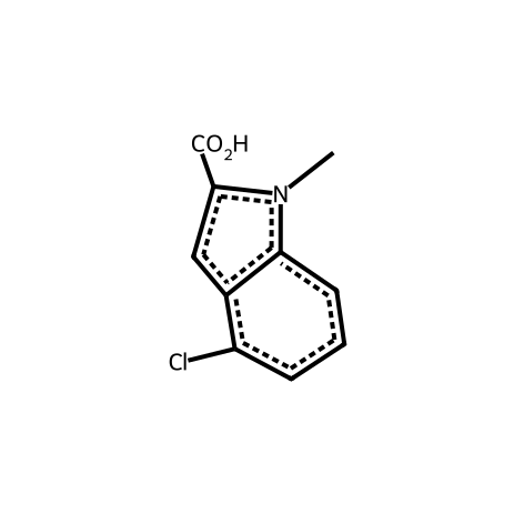 Cn1c(C(=O)O)cc2c(Cl)cccc21